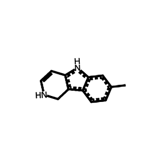 Cc1ccc2c3c([nH]c2c1)C=CNC3